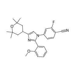 COc1ccccc1-c1nc(C2CC(C)(C)OC(C)(C)C2)cn1-c1ccc(C#N)c(F)c1